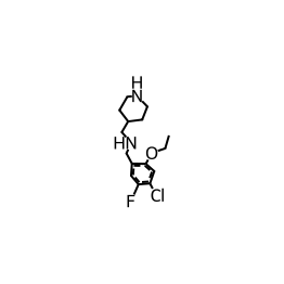 CCOc1cc(Cl)c(F)cc1CNCC1CCNCC1